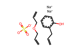 C=CCOCC=C.C=CCc1ccccc1O.O=S(=O)([O-])[O-].[Na+].[Na+]